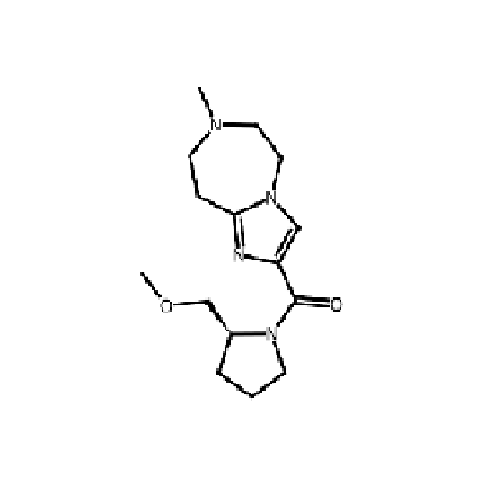 COC[C@@H]1CCCN1C(=O)c1cn2c(n1)CCN(C)CC2